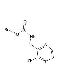 CC(C)(C)OC(=O)NCc1nccnc1Cl